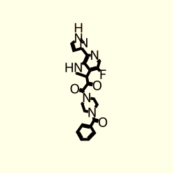 O=C(C(=O)N1CCN(C(=O)c2ccccc2)CC1)C1CNc2c(-c3cc[nH]n3)ncc(F)c21